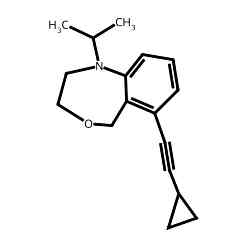 CC(C)N1CCOCc2c(C#CC3CC3)cccc21